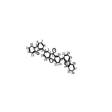 O=c1c2cc(-c3cccc4c3SC3=CC=CCC34)ccc2oc2ccc(-c3cccc4c5c(sc34)CCC=C5)cc12